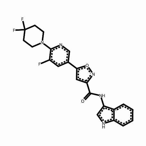 O=C(Nc1c[nH]c2ccccc12)c1cc(-c2cnc(N3CCC(F)(F)CC3)c(F)c2)on1